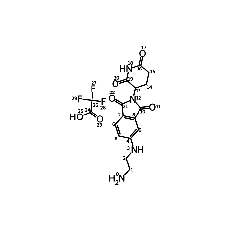 NCCNc1ccc2c(c1)C(=O)N(C1CCC(=O)NC1=O)C2=O.O=C(O)C(F)(F)F